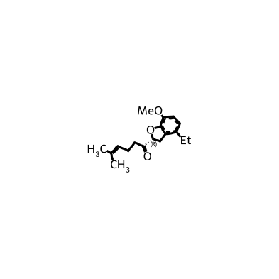 CCc1ccc(OC)c2c1C[C@H](C(=O)CCC=C(C)C)O2